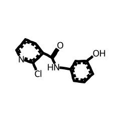 O=C(Nc1cccc(O)c1)c1cccnc1Cl